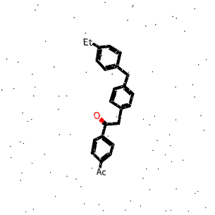 CCc1ccc(Cc2ccc(CC(=O)c3ccc(C(C)=O)cc3)cc2)cc1